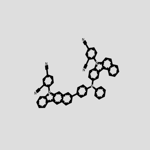 N#Cc1ccc(-n2c3ccccc3c3cc4ccc(-c5ccc(N(c6ccccc6)c6ccc7c(c6)c6c8ccccc8ccc6n7-c6ccc(C#N)cc6C#N)cc5)cc4cc32)c(C#N)c1